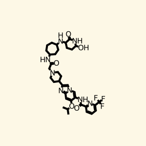 CC(C)Oc1cc2nc(C3CCN(CC(=O)NC4CCCC(NC5CCC(O)NC5=O)CC4)CC3)cn2cc1NC(=O)c1cccc(C(F)(F)F)n1